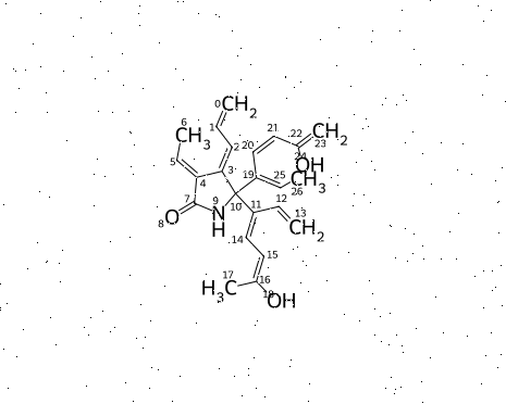 C=C/C=C1\C(=C/C)C(=O)NC1(/C(C=C)=C/C=C(\C)O)C(/C=C\C(=C)O)=C/C